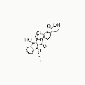 CCCOc1c2c(c(O)c3ccccc13)C(=O)N(c1ccc(C(CC)C(=O)O)cc1Cl)C2=O